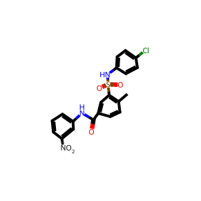 Cc1ccc(C(=O)Nc2cccc([N+](=O)[O-])c2)cc1S(=O)(=O)Nc1ccc(Cl)cc1